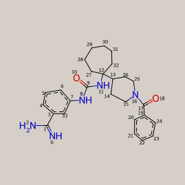 N=C(N)c1cccc(NC(=O)NC2(C3CCN(C(=O)c4ccccc4)CC3)CCCCCC2)c1